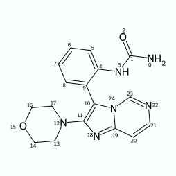 NC(=O)Nc1ccccc1-c1c(N2CCOCC2)nc2ccncn12